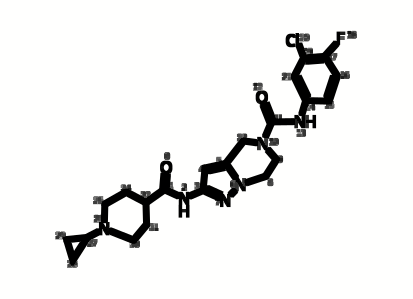 O=C(Nc1cc2n(n1)CCN(C(=O)Nc1ccc(F)c(Cl)c1)C2)C1CCN(C2CC2)CC1